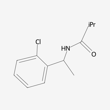 CC(C)C(=O)NC(C)c1ccccc1Cl